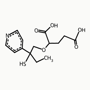 CCC(S)(COC(CCC(=O)O)C(=O)O)c1ccncc1